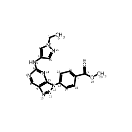 CCn1cc(Nc2ncc3nnn(-c4ccc(C(=O)OC)cc4)c3n2)cn1